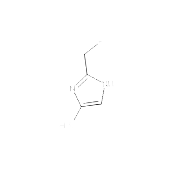 Cc1c[nH]c(CF)n1